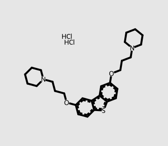 Cl.Cl.c1cc2sc3ccc(OCCCN4CCCCC4)cc3c2cc1OCCCN1CCCCC1